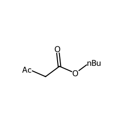 [CH2]CCCOC(=O)CC(C)=O